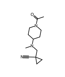 CC(=O)N1CCC(N(C)CC2(C#N)CC2)CC1